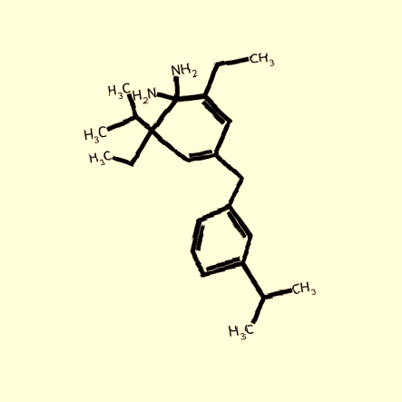 CCC1=CC(Cc2cccc(C(C)C)c2)=CC(CC)(C(C)C)C1(N)N